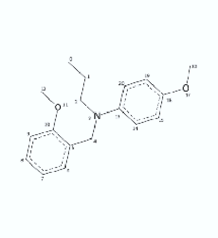 CCCN(Cc1ccccc1OC)c1ccc(OC)cc1